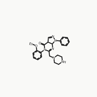 CCOc1ccccc1N1C(=O)C2C=NN(c3ccccc3)C2N=C1CN1CCNCC1